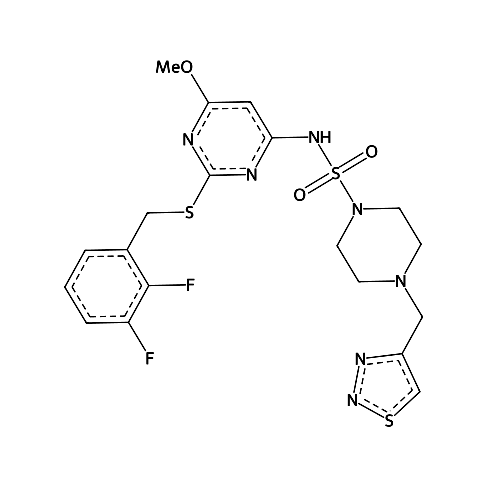 COc1cc(NS(=O)(=O)N2CCN(Cc3csnn3)CC2)nc(SCc2cccc(F)c2F)n1